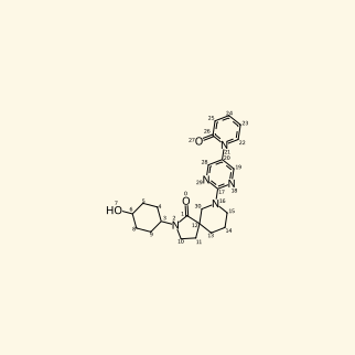 O=C1N(C2CCC(O)CC2)CCC12CCCN(c1ncc(-n3ccccc3=O)cn1)C2